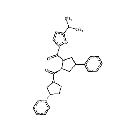 CC(N)c1ccc(C(=O)N2C[C@@H](c3ccccc3)C[C@H]2C(=O)N2CC[C@H](c3ccccc3)C2)o1